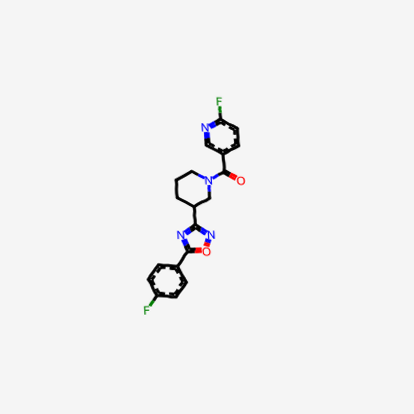 O=C(c1ccc(F)nc1)N1CCCC(c2noc(-c3ccc(F)cc3)n2)C1